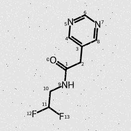 O=C(Cc1cncnc1)NCC(F)F